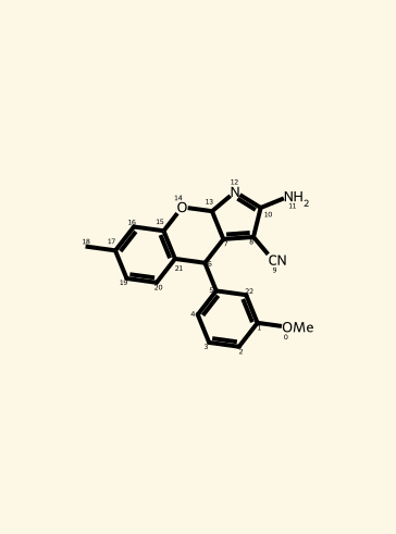 COc1cccc(C2C3=C(C#N)C(N)=NC3Oc3cc(C)ccc32)c1